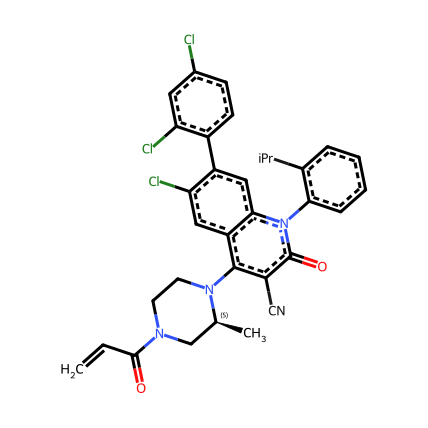 C=CC(=O)N1CCN(c2c(C#N)c(=O)n(-c3ccccc3C(C)C)c3cc(-c4ccc(Cl)cc4Cl)c(Cl)cc23)[C@@H](C)C1